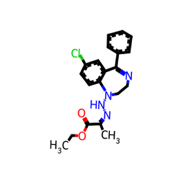 CCOC(=O)/C(C)=N\NN1CCN=C(c2ccccc2)c2cc(Cl)ccc21